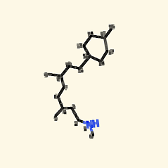 CNCCC(C)CCC(C)CCC1CCC(C)CC1